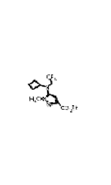 CCOC(=O)c1cc(N(CC(F)(F)F)C2CCC2)n(C)n1